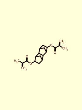 C=C(C)C(=O)OC1CC2CC1C1C3CC(OC(=O)C(=C)C)C(C3)C21